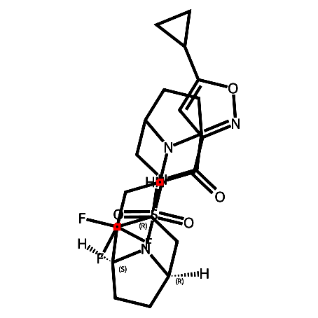 O=C(N[C@H]1C[C@H]2CC[C@@H](C1)N2S(=O)(=O)N1CC2CCC(C1)N2CCC(F)(F)F)c1cc(C2CC2)on1